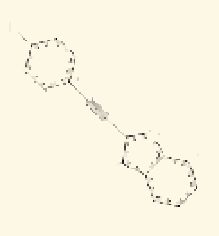 Fc1ccc(C#Cc2cc3ccccc3[se]2)cc1